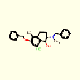 CN(Cc1ccccc1)[C@H]1CCc2c(ccc(OCc3ccccc3)c2C#N)[C@@H]1O.Cl